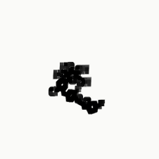 OC[C@H]1O[C@@H](c2ccc(Cl)c(Cc3ccc(OCc4cc5ccc(F)cc5o4)c(F)c3)c2)[C@H](O)[C@@H](O)[C@@H]1O